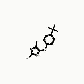 Cc1nc(Br)[nH]c1Sc1ccc(C(C)(C)C)cc1